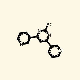 CC(=O)c1nc(-c2cccnc2)cc(-c2cccnc2)n1